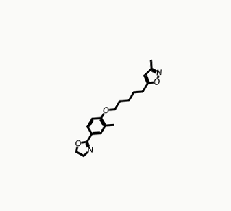 Cc1cc(CCCCCOc2ccc(C3=NCCO3)cc2C)on1